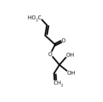 C=CC(O)(O)OC(=O)/C=C/C(=O)O